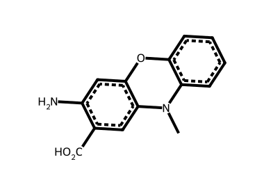 CN1c2ccccc2Oc2cc(N)c(C(=O)O)cc21